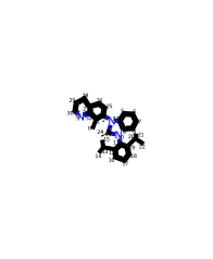 Cc1c(N2c3ccccc3N(c3c(C(C)C)cccc3C(C)C)[C@@H]2C)ccc2cccnc12